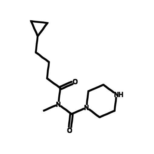 CN(C(=O)CCCC1CC1)C(=O)N1CCNCC1